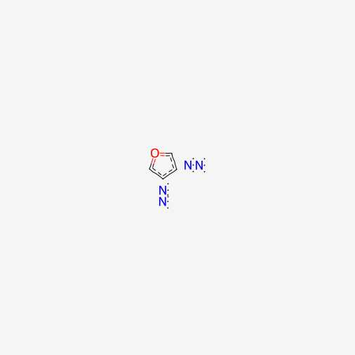 [N].[N].[N].[N].c1ccoc1